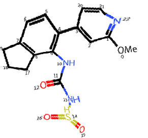 COc1cc(-c2ccc3c(c2NC(=O)N[SH](=O)=O)CCC3)ccn1